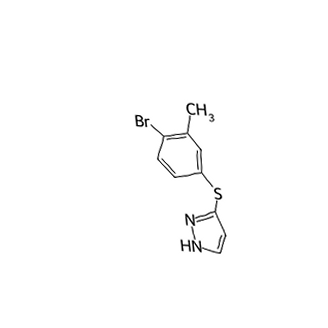 Cc1cc(Sc2cc[nH]n2)ccc1Br